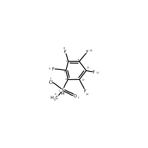 C[SH](=O)(Cl)c1c(F)c(F)c(F)c(F)c1F